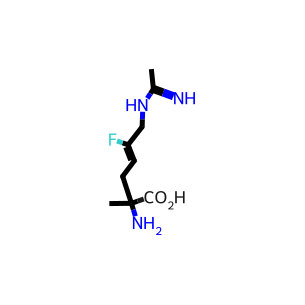 CC(=N)NC/C(F)=C/CC(C)(N)C(=O)O